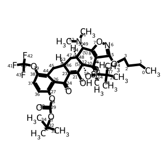 CCCCOc1noc2c1C(=O)[C@@]1(O[Si](C)(C)C(C)(C)C)C(O)=C3C(=O)c4c(OC(=O)OC(C)(C)C)ccc(OC(F)(F)F)c4C[C@H]3C[C@H]1[C@@H]2N(C)C